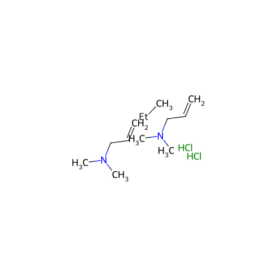 C=CCN(C)C.C=CCN(C)C.CCC.Cl.Cl